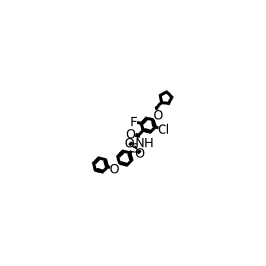 O=C(NS(=O)(=O)c1ccc(Oc2ccccc2)cc1)c1cc(Cl)c(OCC2CCCC2)cc1F